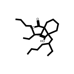 CCCCC(CC)CC1(C(=O)O)CCCCC1(CC(CC)CCCC)C(=O)O